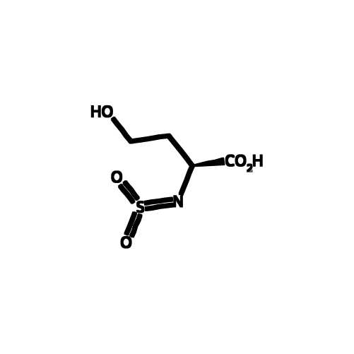 O=C(O)[C@H](CCO)N=S(=O)=O